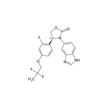 CC(F)(F)COc1ccc([C@H]2COC(=O)N2c2ccc3[nH]cnc3c2)c(F)c1